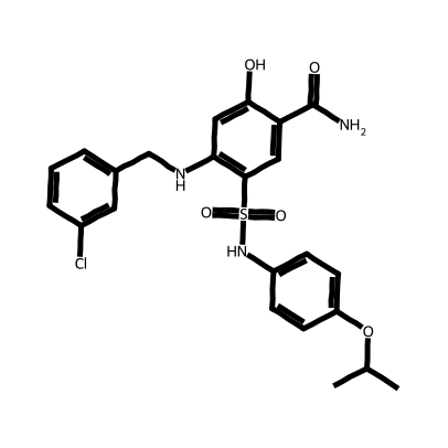 CC(C)Oc1ccc(NS(=O)(=O)c2cc(C(N)=O)c(O)cc2NCc2cccc(Cl)c2)cc1